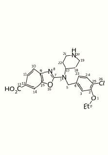 CCOc1cc(CN(c2nc3ccc(C(=O)O)cc3o2)C2CCNCC2)ccc1Cl